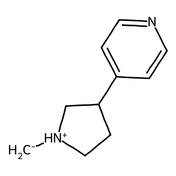 [CH2-][NH+]1CCC(c2ccncc2)C1